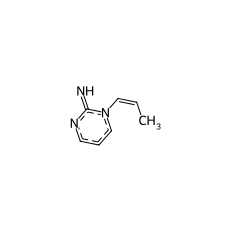 C/C=C\n1cccnc1=N